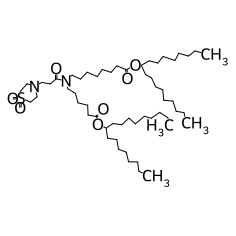 CCCCCCCCCC(CCCCCCCC)OC(=O)CCCCCCCN(CCCCCC(=O)OC(CCCCCCCC)CCCCCCCCC)C(=O)CCN1CCS(=O)(=O)CC1